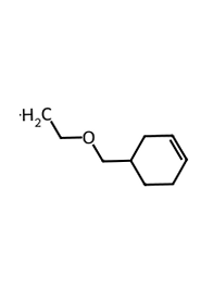 [CH2]COCC1CC=CCC1